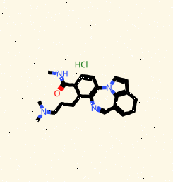 CNC(=O)C1C=CC2=C(N=CC3=CCCc4ccn2c43)C1CCCN(C)C.Cl